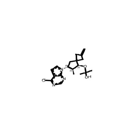 C=C1CC2(C1)C[C@@H](n1ccc3c(Cl)ncnc31)[C@H](C)[C@@H]2OC(C)(C)O